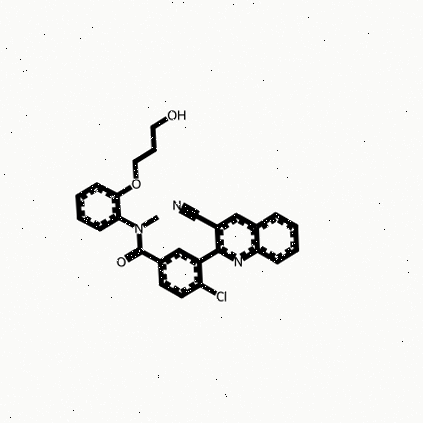 CN(C(=O)c1ccc(Cl)c(-c2nc3ccccc3cc2C#N)c1)c1ccccc1OCCCO